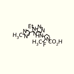 CCn1c(-c2cnc(C)nc2)nc2c(NC3CCN(C(=O)O)C3C(C)F)ncnc21